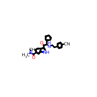 CN(C)C(=O)c1ccc2c(C(=O)[C@H](NCCc3ccc(C#N)cc3)c3ccccc3)c[nH]c2c1